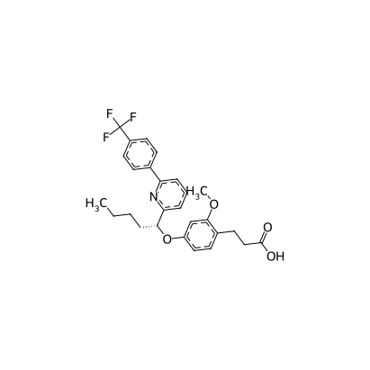 CCCC[C@@H](Oc1ccc(CCC(=O)O)c(OC)c1)c1cccc(-c2ccc(C(F)(F)F)cc2)n1